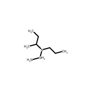 CCCN([SiH2][SiH3])C(C)CC